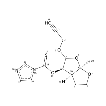 C#CCOC1O[C@H]2OCC[C@H]2[C@H]1OC(=S)n1ccnc1